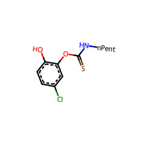 CCCCCNC(=S)Oc1cc(Cl)ccc1O